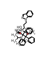 COC(OC)(C(C#N)(N(C(C)C)C(C)C)C(c1ccccc1)(c1ccccc1)c1ccccc1)P(O)(O)(O)CCCn1ncc2ccccc21